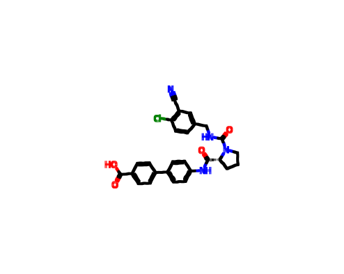 N#Cc1cc(CNC(=O)N2CCC[C@@H]2C(=O)Nc2ccc(-c3ccc(C(=O)O)cc3)cc2)ccc1Cl